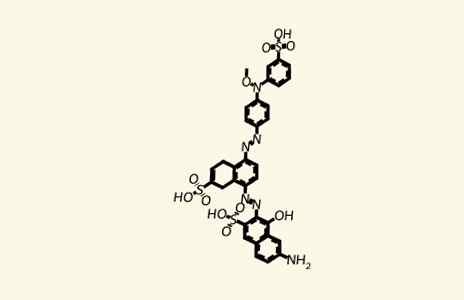 CON(c1ccc(N=Nc2ccc(N=Nc3c(S(=O)(=O)O)cc4ccc(N)cc4c3O)c3c2CC=C(S(=O)(=O)O)C3)cc1)c1cccc(S(=O)(=O)O)c1